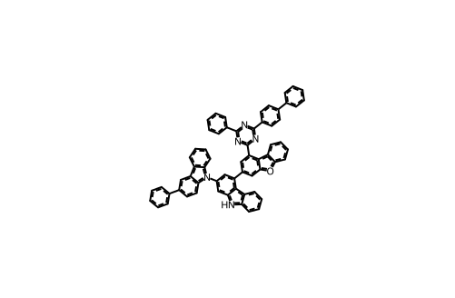 c1ccc(-c2ccc(-c3nc(-c4ccccc4)nc(-c4cc(-c5cc(-n6c7ccccc7c7cc(-c8ccccc8)ccc76)cc6[nH]c7ccccc7c56)cc5oc6ccccc6c45)n3)cc2)cc1